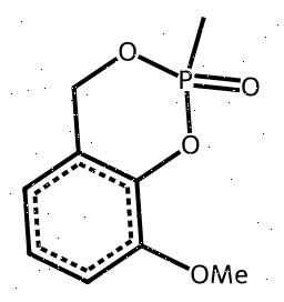 COc1cccc2c1OP(C)(=O)OC2